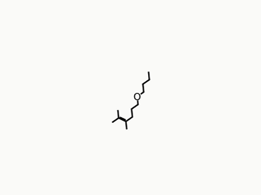 CCCCOCCCC(C)=C(C)C